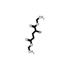 CCOC(=O)CCC(Br)C(=O)OCC